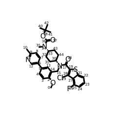 COc1ccc(-c2ccc(C)nc2)cc1CN(C(=O)c1sc2cccc(F)c2c1Cl)[C@H]1CC[C@H](N(C)C(=O)OC(C)(C)C)CC1